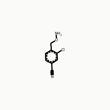 N#Cc1ccc(CON)c(Cl)c1